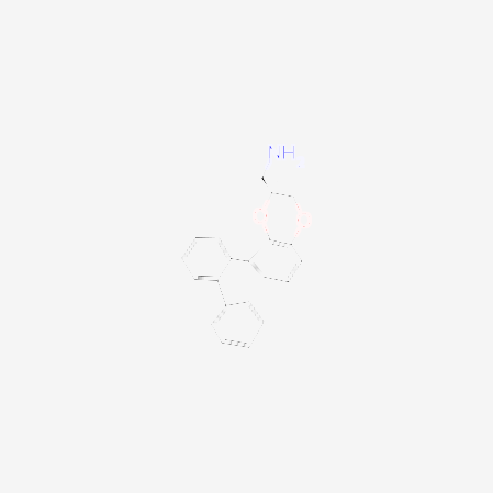 NC[C@H]1COc2cccc(-c3ccccc3-c3ccccc3)c2O1